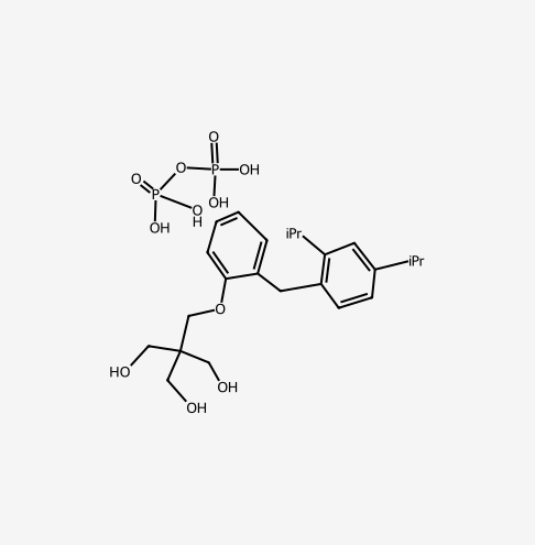 CC(C)c1ccc(Cc2ccccc2OCC(CO)(CO)CO)c(C(C)C)c1.O=P(O)(O)OP(=O)(O)O